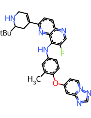 Cc1cc(Nc2c(F)cnc3ccc(C4=CCNC(C(C)(C)C)C4)nc23)ccc1Oc1ccn2ncnc2c1